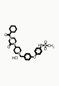 CS(=O)(=O)Nc1ccc(Oc2ccc(CN3CCC(N4CCN(C(=O)C5CCCCC5)CC4=O)CC3)cc2)cc1.Cl